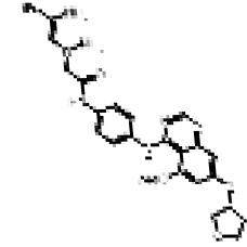 COc1cc(O[C@H]2CCOC2)cc2ncnc(Nc3ccc(NC(=O)CN(N)/C=C(\N)C(C)C)cc3)c12